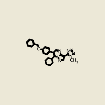 Cn1nnnc1-c1cnn2c(C3CCCCC3)c(-c3ccc(OCc4ccccc4)cc3)cnc12